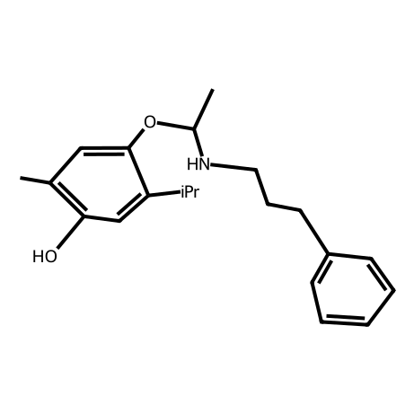 Cc1cc(OC(C)NCCCc2ccccc2)c(C(C)C)cc1O